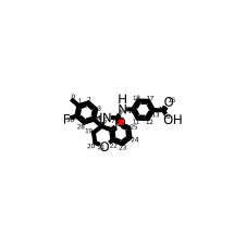 Cc1ccc([C@@]2(NC(=O)Nc3ccc(C(=O)O)cc3)CCOc3cccnc32)cc1F